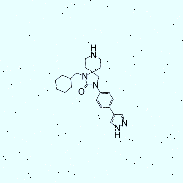 O=C1N(c2ccc(-c3cn[nH]c3)cc2)CC2(CCNCC2)N1CC1CCCCC1